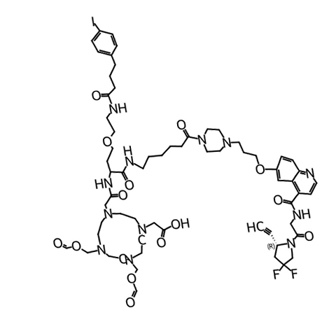 C#C[C@H]1CC(F)(F)CN1C(=O)CNC(=O)c1ccnc2ccc(OCCCN3CCN(C(=O)CCCCCNC(=O)C(CCOCCNC(=O)CCCc4ccc(I)cc4)NC(=O)CN4CCN(COC=O)CCN(COC=O)CCN(CC(=O)O)CC4)CC3)cc12